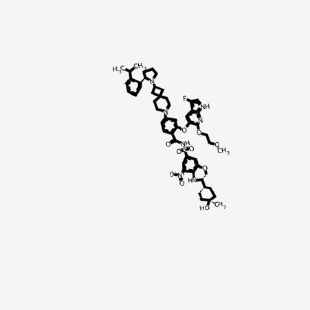 COCCOc1nc2[nH]cc(F)c2cc1Oc1cc(N2CCC3(CC2)CC(N2CCC[C@@H]2c2ccccc2C(C)C)C3)ccc1C(=O)NS(=O)(=O)c1cc2c(c([N+](=O)[O-])c1)N[C@@H]([C@H]1CC[C@](C)(O)CC1)CO2